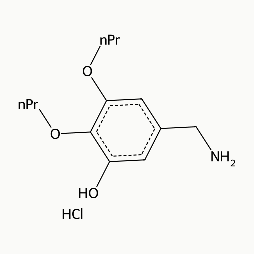 CCCOc1cc(CN)cc(O)c1OCCC.Cl